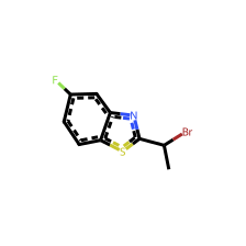 CC(Br)c1nc2cc(F)ccc2s1